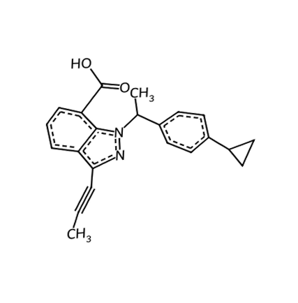 CC#Cc1nn(C(C)c2ccc(C3CC3)cc2)c2c(C(=O)O)cccc12